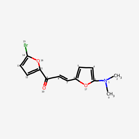 CN(C)c1ccc(/C=C/C(=O)c2ccc(Br)o2)o1